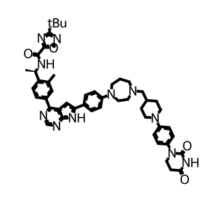 Cc1cc(-c2ncnc3[nH]c(-c4ccc(N5CCCN(CC6CCN(c7ccc(N8CCC(=O)NC8=O)cc7)CC6)CC5)cc4)cc23)ccc1[C@@H](C)NC(=O)c1nc(C(C)(C)C)no1